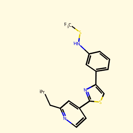 CC(C)Cc1cc(-c2nc(-c3cccc(NSC(F)(F)F)c3)cs2)ccn1